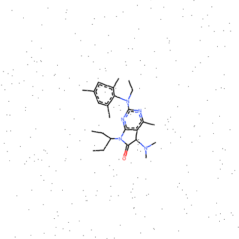 CCC(CC)N1C(=O)C(N(C)C)c2c(C)nc(N(CC)c3c(C)cc(C)cc3C)nc21